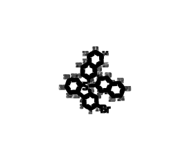 Brc1ccc2c(c1)[Si](c1ccc3ccccc3c1)(c1ccc3ccccc3c1)c1ccccc1-2